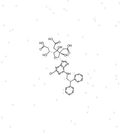 O=C(O)CC(O)[C@H]1O[C@@H](n2cnc3c(NCC(c4ccccc4)c4ccccc4)nc(Cl)nc32)[C@@](O)(CC(=O)O)[C@@]1(O)CC(=O)O